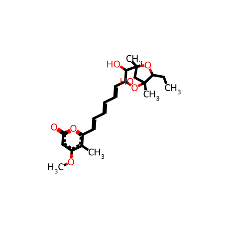 CCC1OC2(C)C(O)C(C=CC=CC=Cc3oc(=O)cc(OC)c3C)OC1(C)C2O